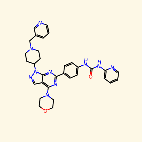 O=C(Nc1ccc(-c2nc(N3CCOCC3)c3cnn(C4CCN(Cc5cccnc5)CC4)c3n2)cc1)Nc1ccccn1